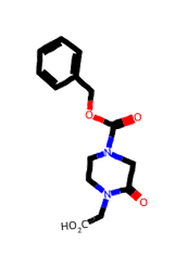 O=C(O)CN1CCN(C(=O)OCc2ccccc2)CC1=O